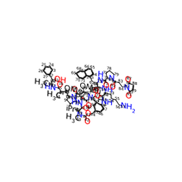 CC[C@H](C)[C@@H]([C@@H](CC(=O)N1CCC[C@H]1[C@H](OC)[C@@H](C)C(=O)N[C@H](C)[C@@H](O)c1ccccc1)OC)N(C)C(=O)[C@@H](NC(=O)[C@H](C(C)C)N(C)C(=O)OCc1ccc(NC(=O)[C@H](CCCCN)NC(=O)[C@H](Cc2cccc3ccccc23)NC(=O)C2CCCN2C(=O)CCN2C(=O)C=CC2=O)cc1)C(C)C